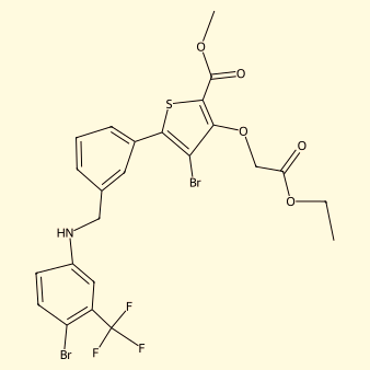 CCOC(=O)COc1c(C(=O)OC)sc(-c2cccc(CNc3ccc(Br)c(C(F)(F)F)c3)c2)c1Br